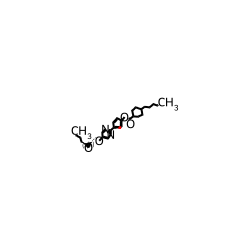 CCCCCC1CCC(C(=O)Oc2ccc(-c3ncc(OC[C@@H]4O[C@H]4CCCC)cn3)cc2)CC1